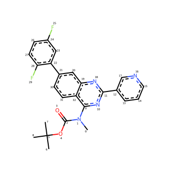 CN(C(=O)OC(C)(C)C)c1nc(-c2cccnc2)nc2cc(-c3cc(F)ccc3F)ccc12